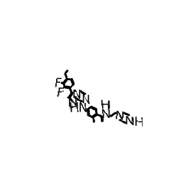 C=C(NCCN1CCNCC1)c1ccc(Nc2nccn3c(-c4ccc(CC)c(F)c4F)cnc23)cc1C